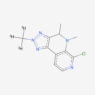 [2H]C([2H])([2H])n1nc2c(n1)C(C)N(C)c1c-2ccnc1Cl